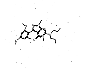 CCCN(CCC)c1nc2c(c(-c3c(C)cc(OC)cc3OC)nn2C)c(=O)n1C